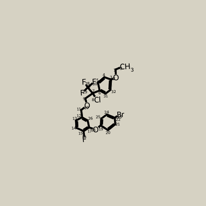 CCOc1ccc(C(Cl)(COCc2ccc(F)c(Oc3ccc(Br)cc3)c2)C(F)(F)F)cc1